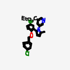 CCOC(=O)c1cncc(-n2c(C)ccc2-c2cc(Br)ccc2OCc2ccc(Cl)cc2)c1